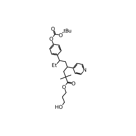 CCC(CC(CC(C)(C)C(=O)OCCCO)c1ccncc1)c1ccc(OC(=O)OC(C)(C)C)cc1